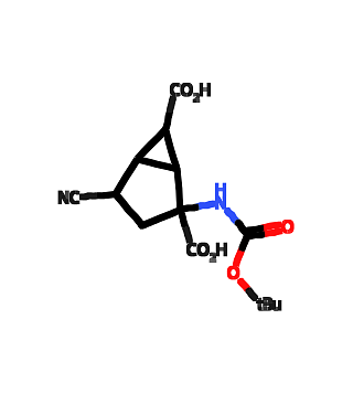 CC(C)(C)OC(=O)NC1(C(=O)O)CC(C#N)C2C(C(=O)O)C21